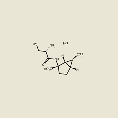 CC(C)C[C@H](N)C(=O)N[C@@]1(C(=O)O)CC[C@H]2[C@H](C(=O)O)[C@H]21.Cl